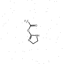 O=C(OC1=NCCN1)C(F)(F)F